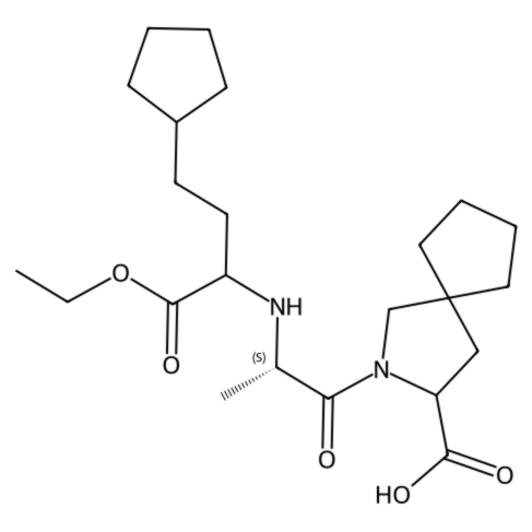 CCOC(=O)C(CCC1CCCC1)N[C@@H](C)C(=O)N1CC2(CCCC2)CC1C(=O)O